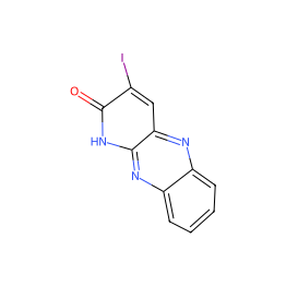 O=c1[nH]c2nc3ccccc3nc2cc1I